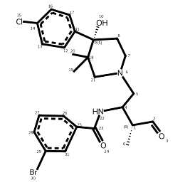 C[C@@H](C=O)C(CN1CC[C@](O)(c2ccc(Cl)cc2)C(C)(C)C1)NC(=O)c1cccc(Br)c1